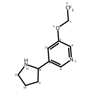 FC(F)(F)COc1cncc(C2CCCN2)c1